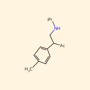 CC(=O)C(CNC(C)C)c1ccc(C)cc1